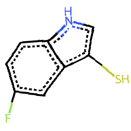 Fc1ccc2[nH]cc(S)c2c1